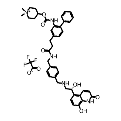 C[N+]1(C)CCC(OC(=O)Nc2cc(CCC(=O)NCc3ccc(CNC[C@H](O)c4ccc(O)c5[nH]c(=O)ccc45)cc3)ccc2-c2ccccc2)CC1.O=C([O-])C(F)(F)F